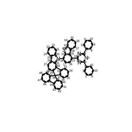 c1ccc(-c2nc(-c3ccccc3)nc(-c3ccc(-n4c5ccccc5c5ccc6c(c54)-c4ccccc4C64c5ccccc5-c5ccccc54)c4sc5ccccc5c34)n2)cc1